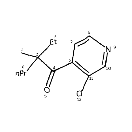 CCCC(C)(CC)C(=O)c1ccncc1Cl